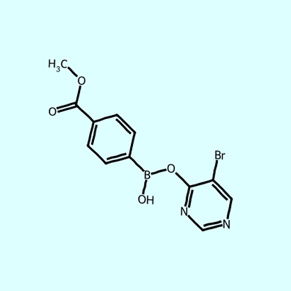 COC(=O)c1ccc(B(O)Oc2ncncc2Br)cc1